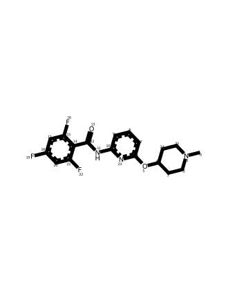 CN1CCC(Oc2cccc(NC(=O)c3c(F)cc(F)cc3F)n2)CC1